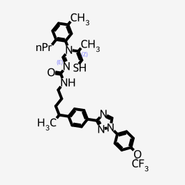 CCCc1ccc(C)cc1N(/C=N/C(=O)NCCCC(C)c1ccc(-c2ncn(-c3ccc(OC(F)(F)F)cc3)n2)cc1)/C(C)=C\S